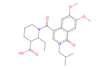 CCC1C(C(=O)O)CCCN1C(=O)c1cn(CC(C)C)c(=O)c2cc(OC)c(OC)cc12